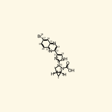 O=C(O)N1[C@@H]2C[C@@H]2C[C@H]1c1nc(-c2cnc3cc(Br)ccc3n2)c[nH]1